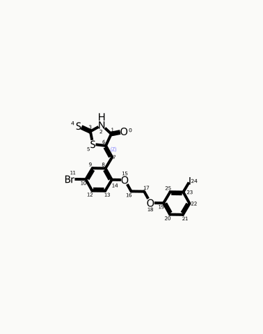 O=C1NC(=S)S/C1=C\c1cc(Br)ccc1OCCOc1cccc(I)c1